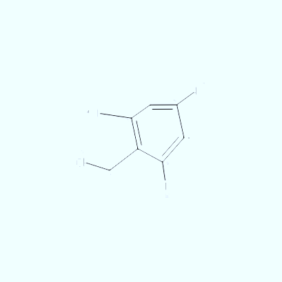 ClCc1c(I)cc(I)cc1I